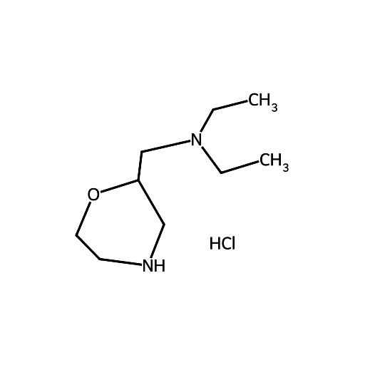 CCN(CC)CC1CNCCO1.Cl